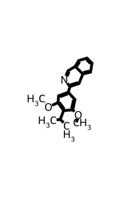 COc1cc(-c2cc3ccccc3cn2)cc(OC)c1C(C)C